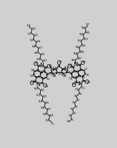 CCCCCCCCCCCCN1C(=O)c2ccc3c4c(c(-c5nc6c(s5)-c5sc(-c7cc8c9c(ccc%10c9c7C(=O)N(CCCCCCCCCCCC)C%10=O)C(=O)N(CCCCCCCCCCCC)C8=O)nc5C6=O)cc(c24)C1=O)C(=O)N(CCCCCCCCCCCC)C3=O